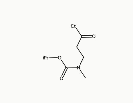 CCC(=O)CCN(C)C(=O)OC(C)C